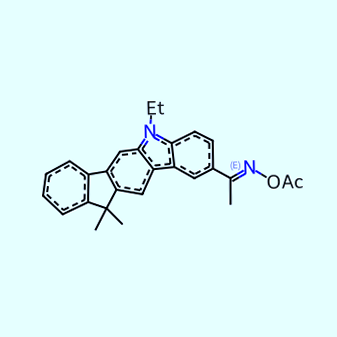 CCn1c2ccc(/C(C)=N/OC(C)=O)cc2c2cc3c(cc21)-c1ccccc1C3(C)C